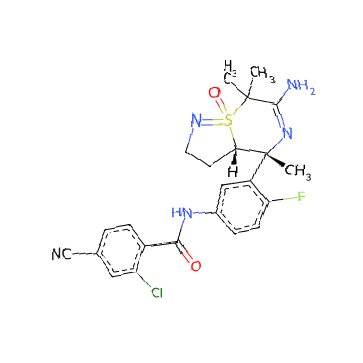 CC1(C)C(N)=N[C@](C)(c2cc(NC(=O)c3ccc(C#N)cc3Cl)ccc2F)[C@@H]2CCN=S21=O